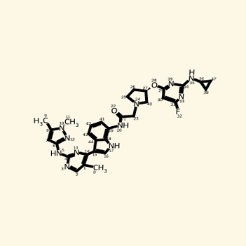 Cc1cnc(Nc2cc(C)n(C)n2)nc1-c1c[nH]c2c(NC(=O)CN3CC[C@H](Oc4cc(F)nc(NC5CC5)n4)C3)cccc12